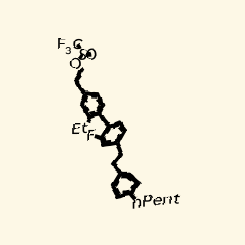 CCCCCc1ccc(CCc2ccc(-c3ccc(CCOS(=O)C(F)(F)F)cc3CC)c(F)c2)cc1